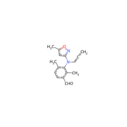 C=C=CN(c1cc(C)on1)c1c(C)ccc(C=O)c1C